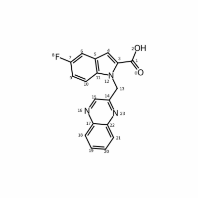 O=C(O)c1cc2cc(F)ccc2n1Cc1cnc2ccccc2n1